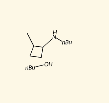 CCCCNC1CCC1C.CCCCO